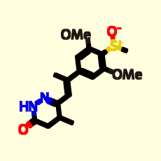 COc1cc(C(C)=CC2=NNC(=O)CC2C)cc(OC)c1[S+](C)[O-]